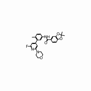 Cc1ccc(NC(=O)c2ccc3c(c2)OC(C)(C)O3)cc1-c1cc(F)nc(N2CCOCC2)c1